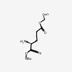 CCCCOC(=O)[C@@H](N)CCC(=O)OCC=O